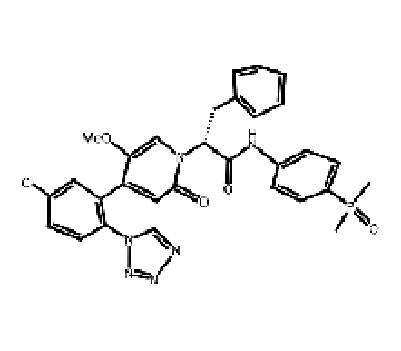 COc1cn([C@H](Cc2ccccc2)C(=O)Nc2ccc(P(C)(C)=O)cc2)c(=O)cc1-c1cc(Cl)ccc1-n1cnnn1